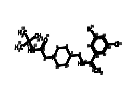 C=C(NCC1CCN(CC(=O)NC(C)(C)C)CC1)c1cc(Cl)cc(Br)c1